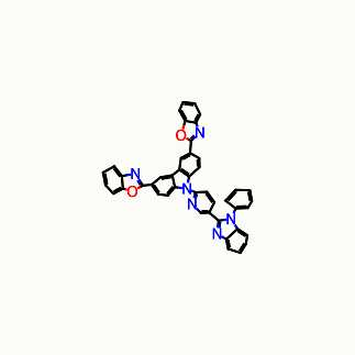 c1ccc(-n2c(-c3ccc(-n4c5ccc(-c6nc7ccccc7o6)cc5c5cc(-c6nc7ccccc7o6)ccc54)nc3)nc3ccccc32)cc1